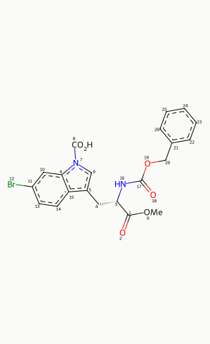 COC(=O)[C@H](Cc1cn(C(=O)O)c2cc(Br)ccc12)NC(=O)OCc1ccccc1